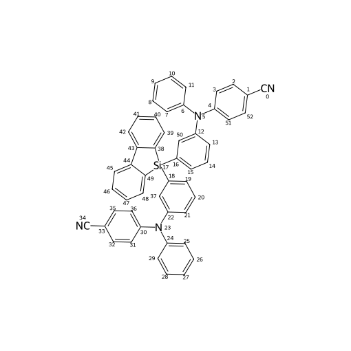 N#Cc1ccc(N(c2ccccc2)c2cccc([Si]3(c4cccc(N(c5ccccc5)c5ccc(C#N)cc5)c4)c4ccccc4-c4ccccc43)c2)cc1